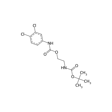 CC(C)(C)OC(=O)NCCOC(=O)Nc1ccc(Cl)c(Cl)c1